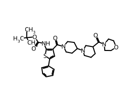 CC(C)(C)OC(=O)Nc1sc(-c2ccccc2)cc1C(=O)N1CCC(N2CCCC(C(=O)N3CCOCC3)C2)CC1